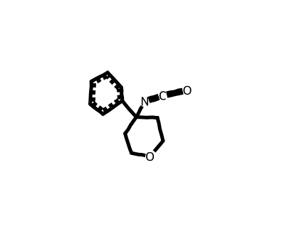 O=C=NC1(c2ccccc2)CCOCC1